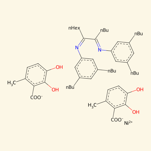 CCCCCCC(=Nc1cc(CCCC)cc(CCCC)c1)C(CCCC)=Nc1cc(CCCC)cc(CCCC)c1.Cc1ccc(O)c(O)c1C(=O)[O-].Cc1ccc(O)c(O)c1C(=O)[O-].[Ni+2]